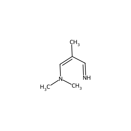 CC(C=N)=CN(C)C